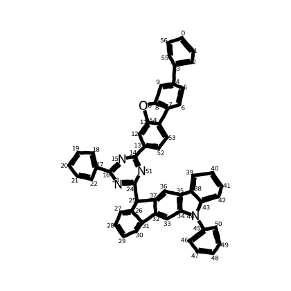 c1ccc(-c2ccc3c(c2)oc2cc(-c4nc(-c5ccccc5)nc(C5c6ccccc6-c6cc7c(cc65)c5ccccc5n7-c5ccccc5)n4)ccc23)cc1